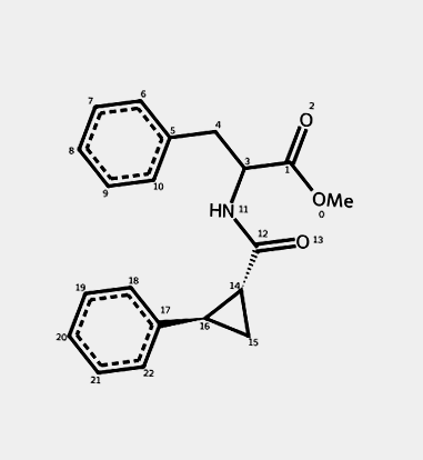 COC(=O)C(Cc1ccccc1)NC(=O)[C@@H]1C[C@H]1c1ccccc1